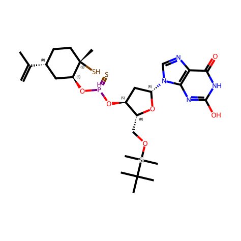 C=C(C)[C@@H]1CC[C@](C)(S)[C@@H](O[PH](=S)O[C@H]2C[C@H](n3cnc4c(=O)[nH]c(O)nc43)O[C@@H]2CO[Si](C)(C)C(C)(C)C)C1